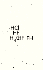 C.Cl.F.F.F